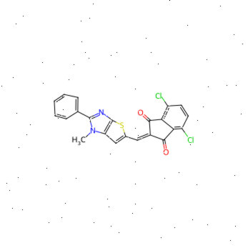 Cn1c(-c2ccccc2)nc2sc(C=C3C(=O)c4c(Cl)ccc(Cl)c4C3=O)cc21